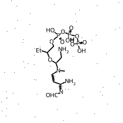 CCC(COP(=O)(O)OP(=O)(O)OP(=O)(O)O)OC(CN)N(C)/C=C\C(N)=N/C=O